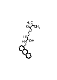 C=C(C)C(=O)OCCNC(O)NCc1cccc2cc3ccccc3cc12